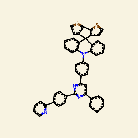 c1ccc(-c2cc(-c3ccc(N4c5ccccc5C5(c6ccccc64)c4ccsc4-c4sccc45)cc3)nc(-c3ccc(-c4ccccn4)cc3)n2)cc1